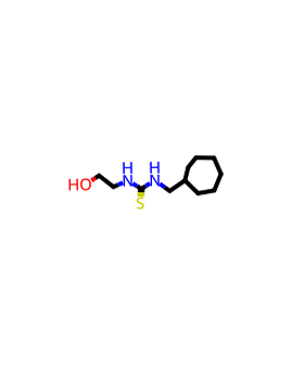 OCCNC(=S)NCC1CCCCCC1